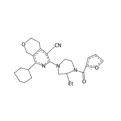 CCC1CN(c2nc(C3CCCCC3)c3c(c2C#N)CCOC3)CCN1C(=O)c1ccco1